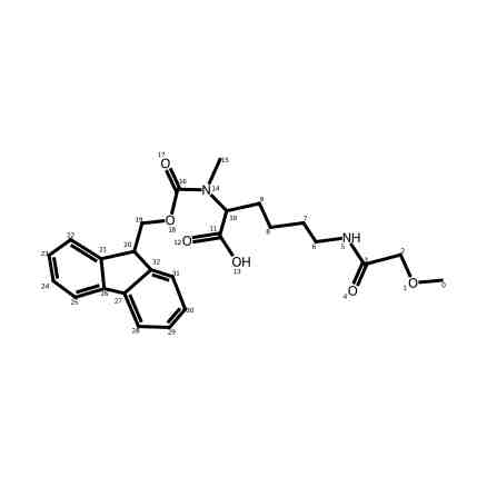 COCC(=O)NCCCCC(C(=O)O)N(C)C(=O)OCC1c2ccccc2-c2ccccc21